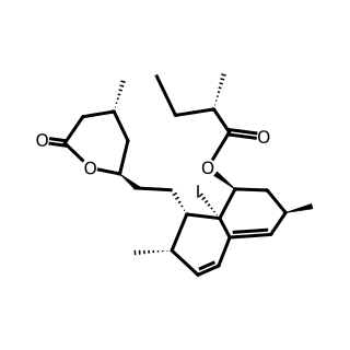 CC[C@H](C)C(=O)O[C@H]1C[C@@H](C)C=C2C=C[C@H](C)[C@H](CC[C@@H]3C[C@@H](C)CC(=O)O3)[C@]21I